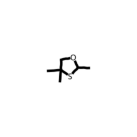 C[C]1OCC(C)(C)S1